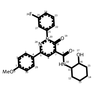 COc1ccc(-c2cc(C(=O)NC3CCCCC3O)c(=O)n(-c3cccc(F)c3)n2)cc1